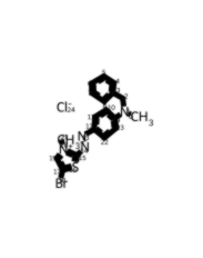 CN(Cc1ccccc1)c1ccc(/N=N/c2sc(Br)c[n+]2C)cc1.[Cl-]